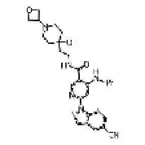 CC(C)Nc1cc(-n2ncc3cc(C#N)cnc32)ncc1C(=O)NCCC1(O)CCN(C2COC2)CC1